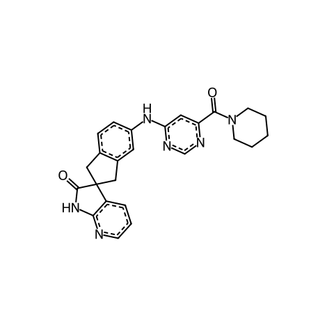 O=C(c1cc(Nc2ccc3c(c2)CC2(C3)C(=O)Nc3ncccc32)ncn1)N1CCCCC1